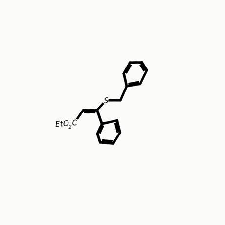 CCOC(=O)C=C(SCc1ccccc1)c1ccccc1